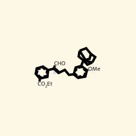 CCOC(=O)c1cccc(/C(C=O)=C/CCc2ccc(OC)c(C34CC5CC(CC(C5)C3)C4)c2)c1